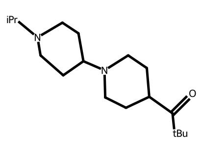 CC(C)N1CCC(N2CCC(C(=O)C(C)(C)C)CC2)CC1